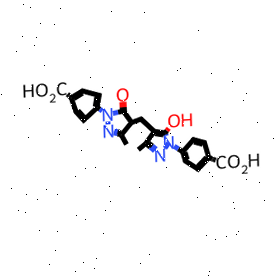 CC1=NN(c2ccc(C(=O)O)cc2)C(=O)C1Cc1c(C)nn(-c2ccc(C(=O)O)cc2)c1O